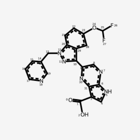 O=C(O)c1c[nH]c2ncc(-c3nn(Cc4cccnc4)c4ccc(OC(F)F)cc34)nc12